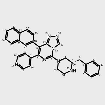 c1ccc(C[C@H]2CN(c3nc(-c4ccncc4)c(-c4ccc5ccccc5c4)c4nncn34)CCN2)cc1